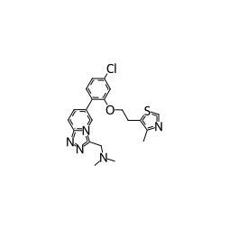 Cc1ncsc1CCOc1cc(Cl)ccc1-c1ccc2nnc(CN(C)C)n2c1